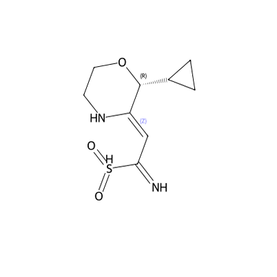 N=C(/C=C1\NCCO[C@@H]1C1CC1)[SH](=O)=O